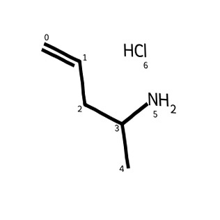 C=CCC(C)N.Cl